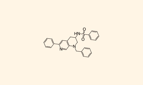 O=S(=O)(NC1Cc2cc(-c3ccccc3)ncc2N(Cc2ccccc2)C1)c1ccccc1